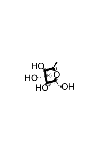 C[C@H]1O[C@H](CO)[C@H](O)[C@H](O)[C@@H]1O